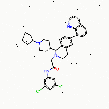 O=C(CN1CCc2cc(-c3cccc4cccnc34)ccc2C1C1CCN(C2CCCC2)CC1)Nc1cc(Cl)cc(Cl)c1